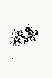 CCC(C)C(C(CC(=O)N1CCCC1C(OC)C(C)C(=O)NC(Cc1ccccc1)c1nccs1)OC)N(C)C(=O)C(NC)C(C)C